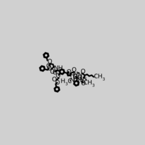 CCCCCC(C(=O)NCNC(=O)c1ccc(-c2ccc(C(=O)NC(CC(=O)OCc3ccccc3)C(=O)OCc3ccccc3)c(OCC(=O)OCc3ccccc3)c2)o1)[C@@H](CC)N(C=O)OC(=O)c1ccccc1NC